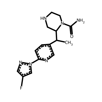 CC(c1ccc(-n2cc(F)cn2)nc1)C1CNCCN1C(N)=O